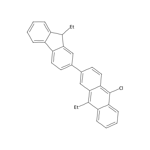 CCc1c2ccccc2c(Cl)c2ccc(-c3ccc4c(c3)C(CC)c3ccccc3-4)cc12